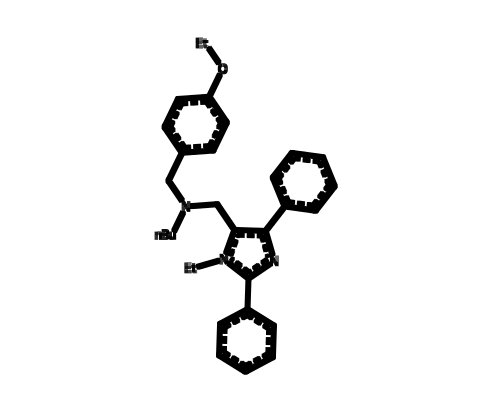 CCCCN(Cc1ccc(OCC)cc1)Cc1c(-c2ccccc2)nc(-c2ccccc2)n1CC